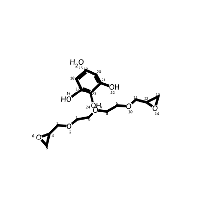 C(COCC1CO1)OCCOCC1CO1.O.Oc1cccc(O)c1O